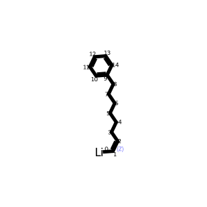 [Li]/[CH]=C\CCCCCCc1ccccc1